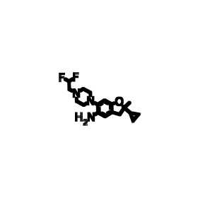 CC1(C2CC2)Cc2cc(N)c(N3CCN(CC(F)F)CC3)cc2O1